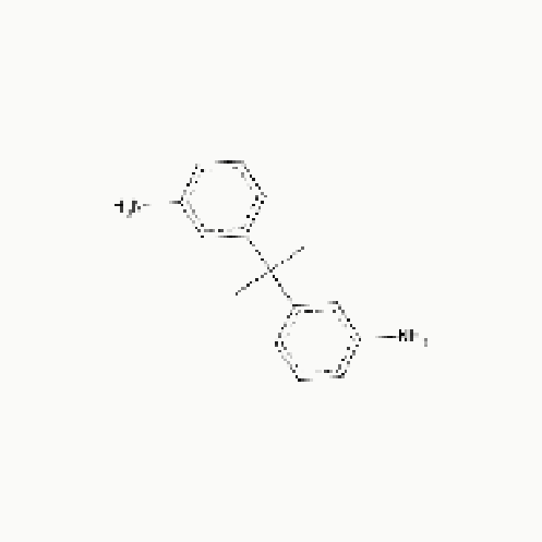 CC(C)(c1cccc(N)c1)c1cccc(N)c1